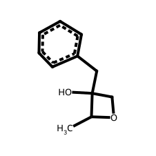 CC1OCC1(O)Cc1ccccc1